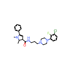 CC1C(C(=O)NCCCN2CCN(c3cccc(Cl)c3F)CC2)C=C(c2ccccc2)N1C